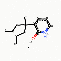 CCCC(C)(CCC)c1ccc[nH]c1=O